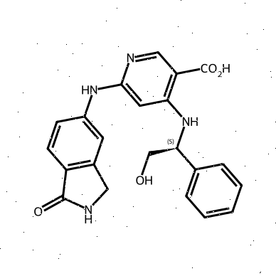 O=C1NCc2cc(Nc3cc(N[C@H](CO)c4ccccc4)c(C(=O)O)cn3)ccc21